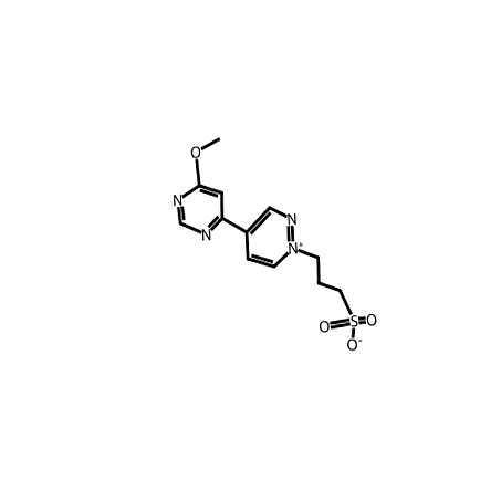 COc1cc(-c2cc[n+](CCCS(=O)(=O)[O-])nc2)ncn1